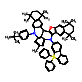 Cc1cc2c3c(c1)N(c1ccc4c(c1)S(c1ccccc1)(c1ccccc1)c1ccccc1-4)c1c(oc4cc5c(cc14)C(C)(C)CCC5(C)C)B3c1cc3c(cc1N2c1ccc(C(C)(C)C)cc1)C(C)(C)CCC3(C)C